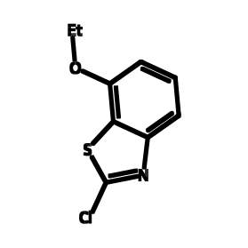 CCOc1cccc2nc(Cl)sc12